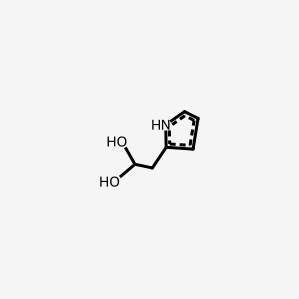 OC(O)Cc1ccc[nH]1